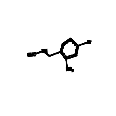 O=CNCc1ccc(Br)cc1[N+](=O)[O-]